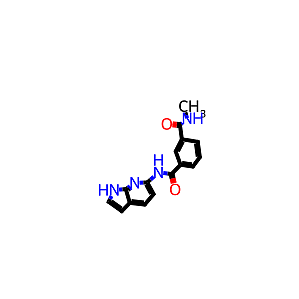 CNC(=O)c1cccc(C(=O)Nc2ccc3cc[nH]c3n2)c1